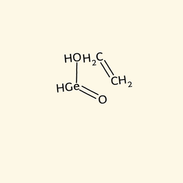 C=C.[O]=[GeH][OH]